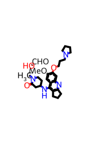 COc1cc2c(NC3CCN(C)C(=O)C3)c3c(nc2cc1OCCCN1CCCC1)CCC3.O=CO